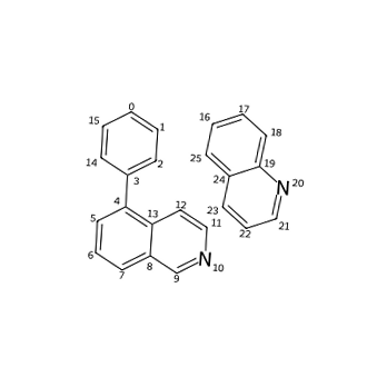 c1ccc(-c2cccc3cnccc23)cc1.c1ccc2ncccc2c1